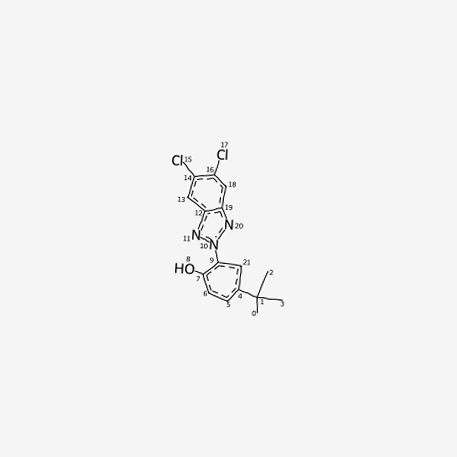 CC(C)(C)c1ccc(O)c(-n2nc3cc(Cl)c(Cl)cc3n2)c1